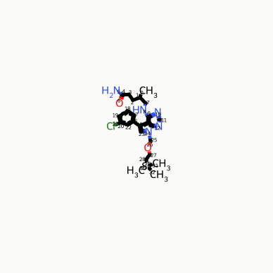 CC(CCC(N)=O)CNc1ncnc2c1c(-c1cccc(Cl)c1)cn2COCC[Si](C)(C)C